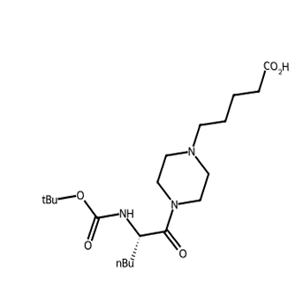 CCCC[C@H](NC(=O)OC(C)(C)C)C(=O)N1CCN(CCCCC(=O)O)CC1